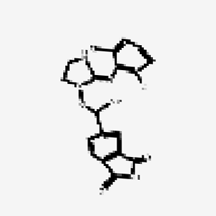 CCCC(ON1CCNC1=Nc1c(Cl)cccc1Cl)c1ccc2c(c1)C(=O)NC2=O